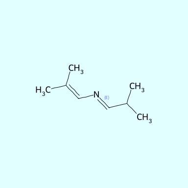 CC(C)=C/N=C/C(C)C